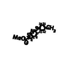 COC(=O)c1cc2ccc(Sc3ccc(C)cc3)nc2s1